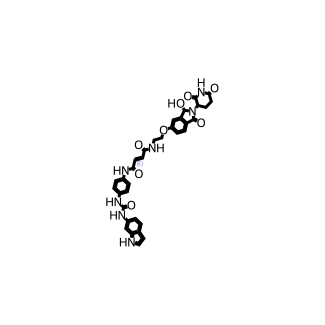 O=C(/C=C/C(=O)Nc1ccc(NC(=O)Nc2ccc3cc[nH]c3c2)cc1)NCCOc1ccc2c(c1)C(O)N(C1CCC(=O)NC1=O)C2=O